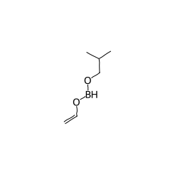 C=COBOCC(C)C